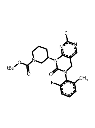 Cc1cccc(F)c1N1Cc2cnc(Cl)nc2N([C@@H]2CCCN(C(=O)OC(C)(C)C)C2)C1=O